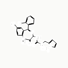 CN(Cc1ccco1)C(=S)NC1N=C(c2ccccc2Cl)c2cc(Cl)ccc2N(C)C1=O